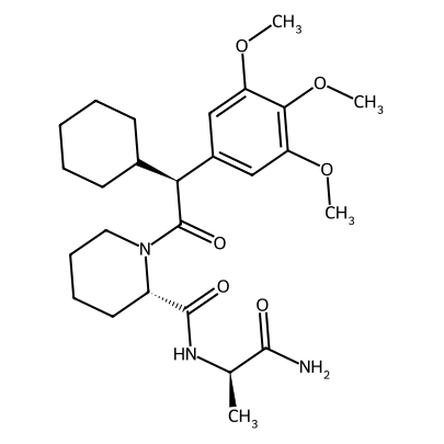 COc1cc([C@@H](C(=O)N2CCCC[C@H]2C(=O)N[C@H](C)C(N)=O)C2CCCCC2)cc(OC)c1OC